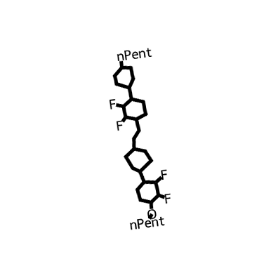 CCCCCOC1CCC(C2CCC(CCC3CCC(C4CCC(CCCCC)CC4)C(F)C3F)CC2)C(F)C1F